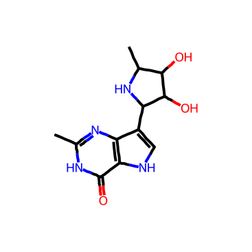 Cc1nc2c(C3NC(C)C(O)C3O)c[nH]c2c(=O)[nH]1